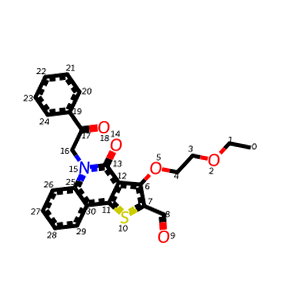 CCOCCOc1c(C=O)sc2c1c(=O)n(CC(=O)c1ccccc1)c1ccccc21